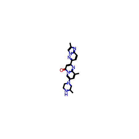 Cc1cn2nc(-c3cc(=O)n4cc(N5CCNC(C)C5)cc(C)c4n3)ccc2n1